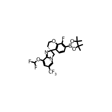 CC1(C)OB(c2ccc3c(c2F)OCC[C@@]32CN3C=C(C(F)(F)F)C=C(OC(F)F)C3=N2)OC1(C)C